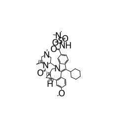 COc1ccc2c(c1)[C@H]1C[C@@]1(C(=O)N1C(C)CN(C)C[C@@H]1C)Cn1c-2c(C2CCCCC2)c2ccc(C(=O)NS(=O)(=O)N(C)C)cc21